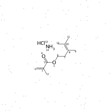 C=C(C)C(=O)OCCC(C)=C(C)C.Cl.N